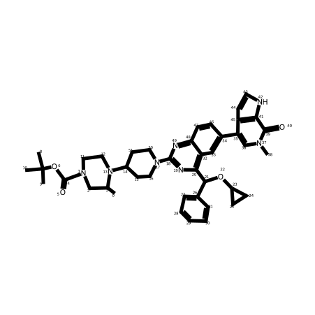 CC1CN(C(=O)OC(C)(C)C)CCN1C1CCN(c2nc(C(OC3CC3)c3ccccc3)c3cc(-c4cn(C)c(=O)c5[nH]ccc45)ccc3n2)CC1